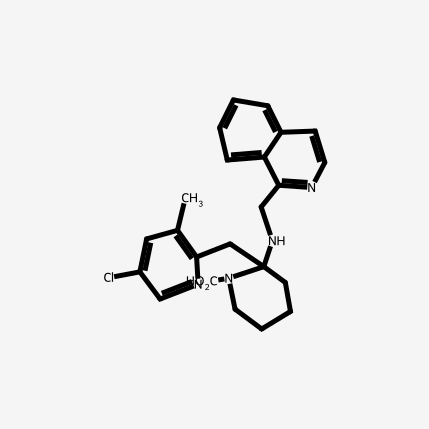 Cc1cc(Cl)cnc1CC1(NCc2nccc3ccccc23)CCCCN1C(=O)O